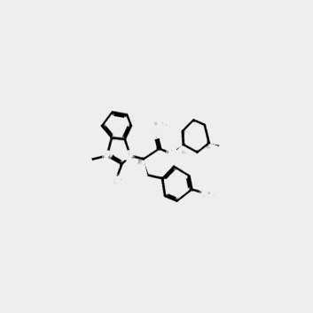 CCc1n([C@H](Cc2ccc(O)cc2)C(=O)O[C@@H]2C[C@H](C)CC[C@H]2C(C)C)c2ccccc2[n+]1C